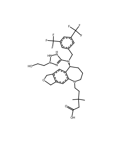 CC(C)(CCN1CCC[C@H](N(Cc2cc(C(F)(F)F)cc(C(F)(F)F)c2)C2=NN(CCO)NN2)c2cc3c(cc21)COC3)CC(=O)O